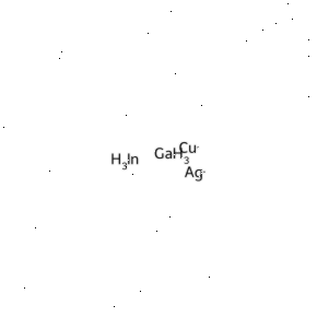 [Ag].[Cu].[GaH3].[InH3]